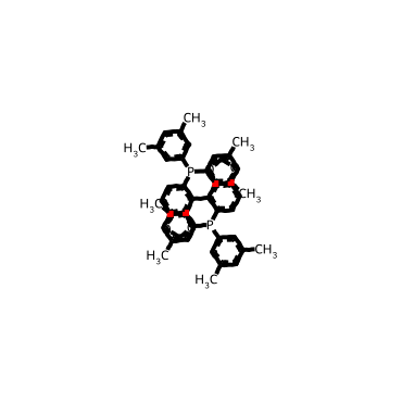 Cc1cc(C)cc(P(c2cc(C)cc(C)c2)c2ccc3c(c2-c2c(P(c4cc(C)cc(C)c4)c4cc(C)cc(C)c4)ccc4c2O[CH]O4)O[CH]O3)c1